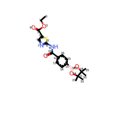 CCOC(=O)c1cnc(NC(=O)c2ccc(B3OC(C)(C)C(C)(C)O3)cc2)s1